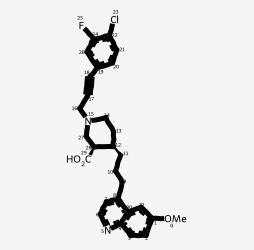 COc1ccc2nccc(CCC[C@@H]3CCN(CC#Cc4ccc(Cl)c(F)c4)C[C@@H]3C(=O)O)c2c1